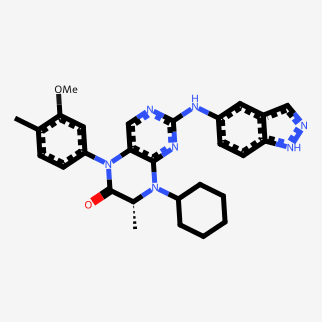 COc1cc(N2C(=O)[C@@H](C)N(C3CCCCC3)c3nc(Nc4ccc5[nH]ncc5c4)ncc32)ccc1C